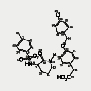 Cc1ccc(S(=O)(=O)NC2CCCN(Cc3cc(CC(=O)O)ccc3OCc3ccc(Cl)cc3)C2=O)cc1